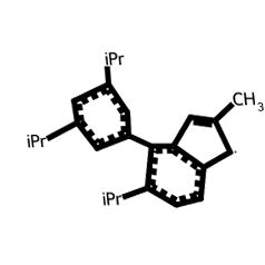 CC1=Cc2c(ccc(C(C)C)c2-c2cc(C(C)C)cc(C(C)C)c2)[CH]1